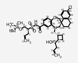 C=CC[C@@H](CO[Si](C)(C)C(C)(C)C)S(=O)(=O)NC(=O)c1ccc2c(c1)N(C[C@@H]1CC[C@H]1[C@@H](O)CC=C)C[C@@]1(CCCc3cc(Cl)ccc31)CO2